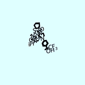 CC(C)N(C[C@H]1CN(S(=O)(=O)C2=CC=CCC2=S)CCN1c1ccc([C@@](C)(O)C(F)(F)F)cc1)S(=O)(=O)N(C)C